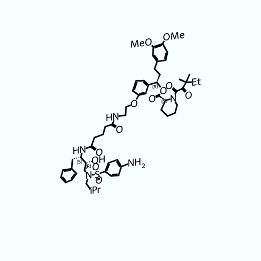 CCC(C)(C)C(=O)C(=O)N1CCCC[C@H]1C(=O)O[C@H](CCc1ccc(OC)c(OC)c1)c1cccc(OCCNC(=O)CCCC(=O)N[C@@H](Cc2ccccc2)[C@H](O)CN(CC(C)C)S(=O)(=O)c2ccc(N)cc2)c1